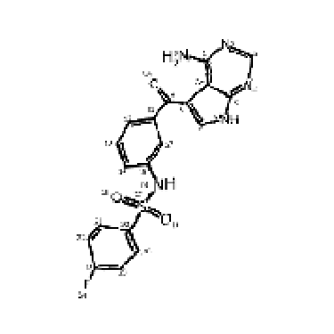 Nc1ncnc2[nH]cc(C(=O)c3cccc(NS(=O)(=O)c4ccc(F)cc4)c3)c12